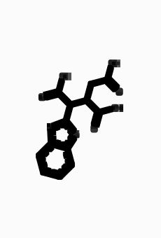 O=C(O)CC(C(=O)O)C(C(=O)O)c1nc2ccccc2s1